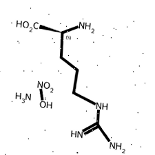 N.N=C(N)NCCC[C@H](N)C(=O)O.O=[N+]([O-])O